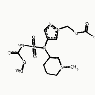 CN1CCCC(N(c2cnn(COC(=O)C(F)(F)F)c2)S(=O)(=O)NC(=O)OC(C)(C)C)C1